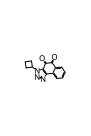 O=C1C(=O)c2c(nnn2C2CCC2)-c2ccccc21